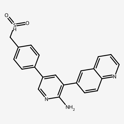 Nc1ncc(-c2ccc(C[SH](=O)=O)cc2)cc1-c1ccc2ncccc2c1